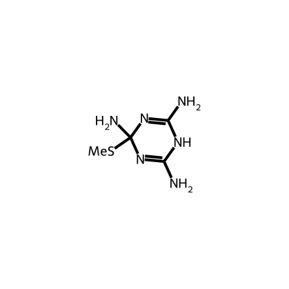 CSC1(N)N=C(N)NC(N)=N1